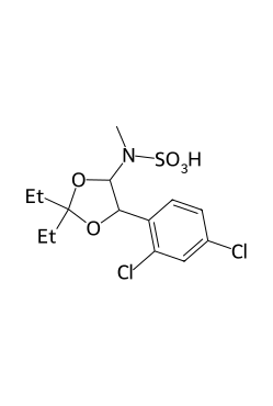 CCC1(CC)OC(c2ccc(Cl)cc2Cl)C(N(C)S(=O)(=O)O)O1